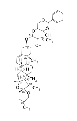 C[C@@H]1CC[C@@]2(OC1)O[C@H]1C[C@H]3[C@@H]4CC=C5C[C@@H](O[C@@H]6OC7COC(c8ccccc8)OC7(C)[C@H](C)C6O)CC[C@]5(C)[C@H]4CC[C@]3(C)[C@H]1[C@@H]2C